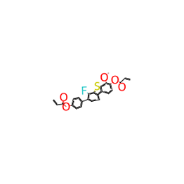 C=CC(=O)Oc1ccc(-c2ccc3c(sc4c(OC)c(OC(=O)C=C)ccc43)c2F)cc1